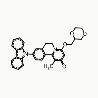 Cc1c2n(c(OCC3COCCO3)cc1=O)CCc1cc(-n3c4ccccc4c4ccccc43)ccc1-2